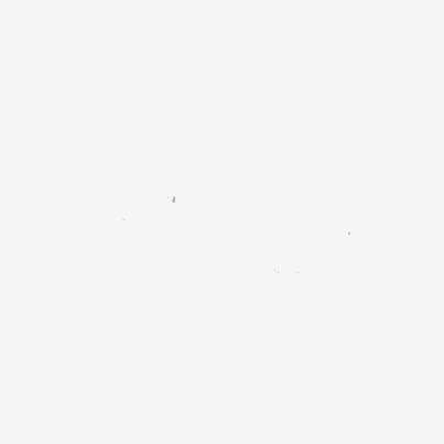 CC(C)(C)OC(=O)NCCCc1cc(Cl)cc(C(=O)c2ccccc2)c1N